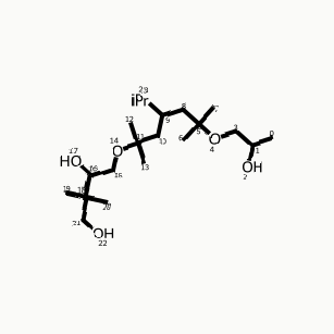 CC(O)COC(C)(C)CC(CC(C)(C)OCC(O)C(C)(C)CO)C(C)C